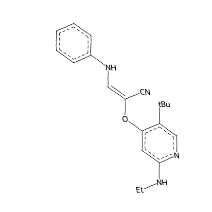 CCNc1cc(O/C(C#N)=C/Nc2ccccc2)c(C(C)(C)C)cn1